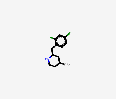 CC(=O)OC1CCNC(Cc2ccc(F)cc2F)C1